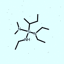 CCN[Si](C(C)CC)(N(C)C)N(CC)CC